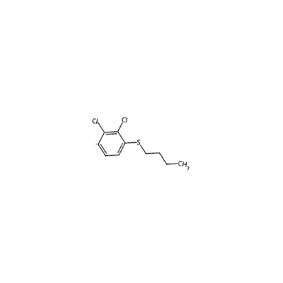 CCCCSc1cc[c]c(Cl)c1Cl